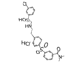 CN(C)C(=O)c1cccc(S(=O)(=O)c2ccc(CCNC[C@@H](O)c3cccc(Cl)c3)cc2)c1.Cl